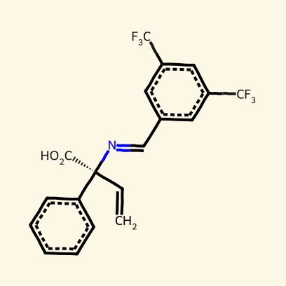 C=C[C@@](N=Cc1cc(C(F)(F)F)cc(C(F)(F)F)c1)(C(=O)O)c1ccccc1